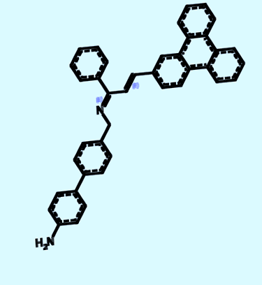 Nc1ccc(-c2ccc(C/N=C(\C=C\c3ccc4c5ccccc5c5ccccc5c4c3)c3ccccc3)cc2)cc1